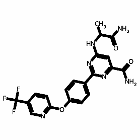 CC(Nc1cc(C(N)=O)nc(-c2ccc(Oc3ccc(C(F)(F)F)cn3)cc2)n1)C(N)=O